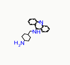 NC1CCC(CNc2c3ccccc3nc3ccccc23)CC1